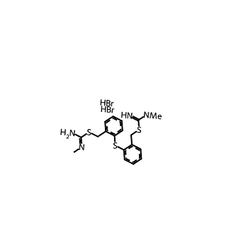 Br.Br.CN=C(N)SCc1ccccc1Sc1ccccc1CSC(=N)NC